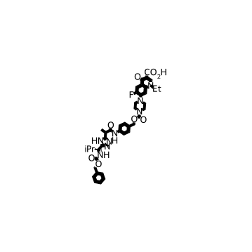 CCn1cc(C(=O)O)c(=O)c2cc(F)c(N3CCN(C(=O)OCc4ccc(NC(=O)C(C)c5nnc([C@@H](NC(=O)OCc6ccccc6)C(C)C)[nH]5)cc4)CC3)cc21